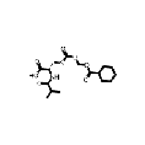 CC(C)C(=O)N[C@@H](CSC(=O)OCOC(=O)C1CCCCC1)C(=O)O